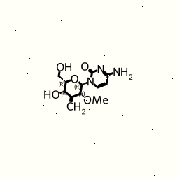 C=C1[C@@H](O)[C@@H](CO)O[C@@H](n2ccc(N)nc2=O)[C@@H]1OC